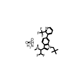 CN(C)C(c1cn(CC(C)(C)C)c2cc(-c3cccnc3C(F)(F)F)ccc12)C(F)F.N[SH](=O)=O